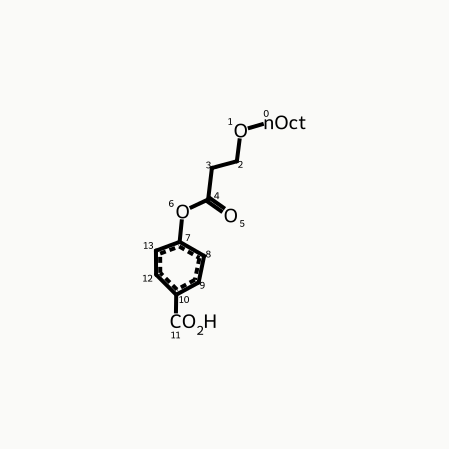 CCCCCCCCOCCC(=O)Oc1ccc(C(=O)O)cc1